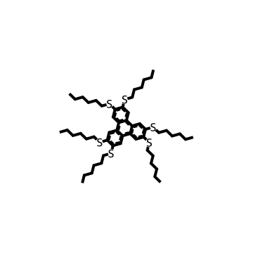 CCCCCCSc1cc2c3cc(SCCCCCC)c(SCCCCCC)cc3c3cc(SCCCCCC)c(SCCCCCC)cc3c2cc1SCCCCCC